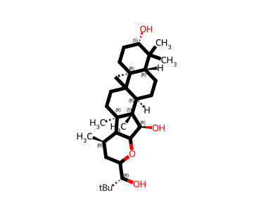 C[C@@H]1CC([C@H](O)C(C)(C)C)OC2C1[C@@]1(C)CCC34C[C@@]35CC[C@H](O)C(C)(C)[C@@H]5CC[C@H]4[C@]1(C)[C@H]2O